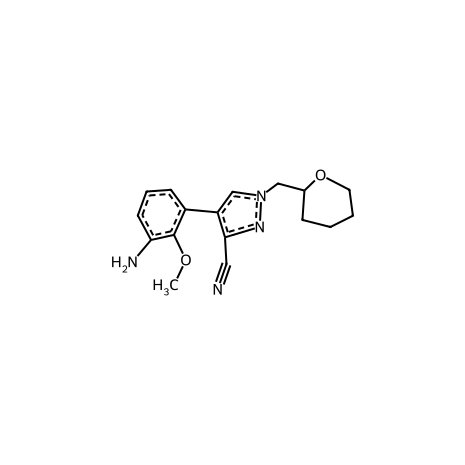 COc1c(N)cccc1-c1cn(CC2CCCCO2)nc1C#N